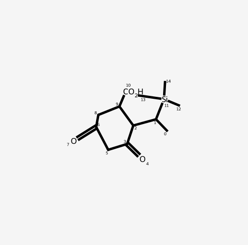 CC(C1C(=O)CC(=O)CC1C(=O)O)[Si](C)(C)C